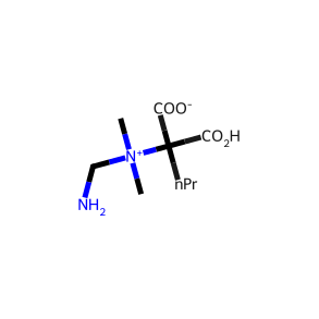 CCCC(C(=O)[O-])(C(=O)O)[N+](C)(C)CN